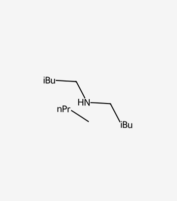 CCC(C)CNCC(C)CC.CCCC